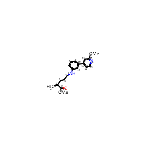 C=C(CCCNc1cccc(-c2ccnc(OC)c2)c1)C(=O)OC